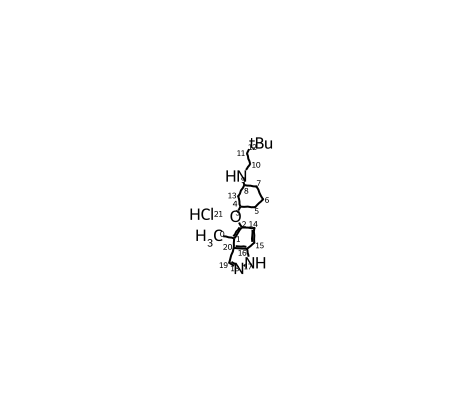 Cc1c(OC2CCCC(NCCC(C)(C)C)C2)ccc2[nH]ncc12.Cl